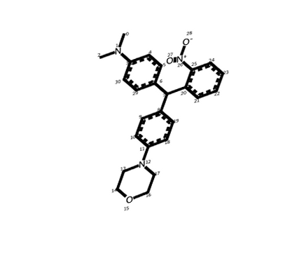 CN(C)c1ccc(C(c2ccc(N3CCOCC3)cc2)c2ccccc2[N+](=O)[O-])cc1